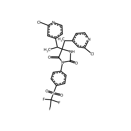 CC(c1ccnc(Cl)c1)C1(C(C)c2ccnc(Cl)c2)NC(=O)N(c2ccc(S(=O)(=O)C(F)(F)F)cc2)C1=O